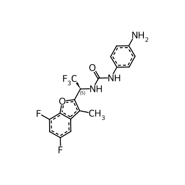 Cc1c([C@H](NC(=O)Nc2ccc(N)cc2)C(F)(F)F)oc2c(F)cc(F)cc12